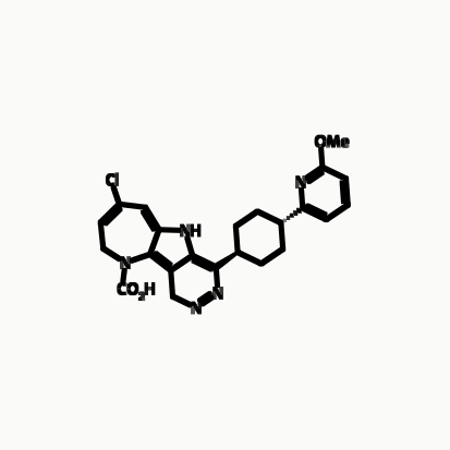 COc1cccc([C@H]2CC[C@H](C3=c4[nH]c5c(c4CN=N3)N(C(=O)O)CC=C(Cl)C=5)CC2)n1